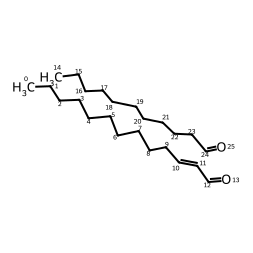 CCCCCCCCCCC=CC=O.CCCCCCCCCCC=O